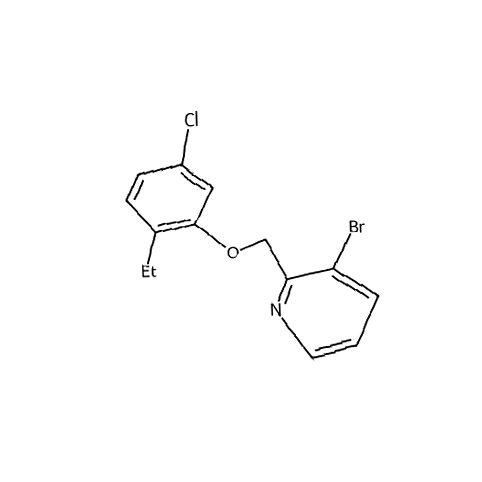 CCc1ccc(Cl)cc1OCc1ncccc1Br